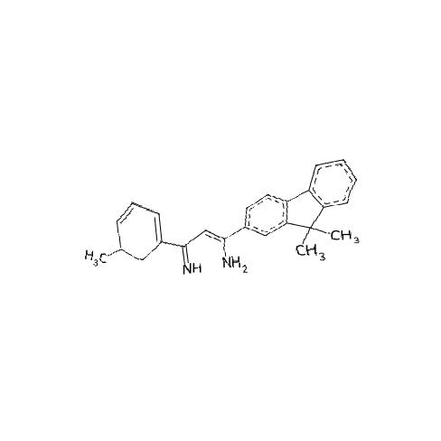 CC1C=CC=C(C(=N)/C=C(\N)c2ccc3c(c2)C(C)(C)c2ccccc2-3)C1